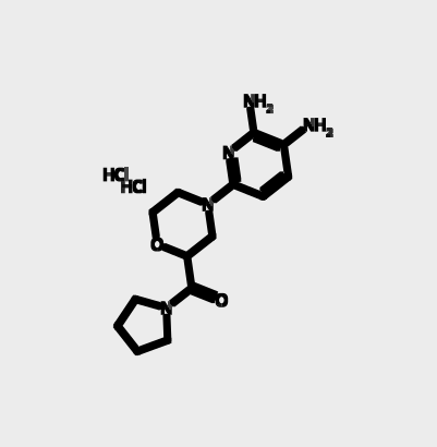 Cl.Cl.Nc1ccc(N2CCOC(C(=O)N3CCCC3)C2)nc1N